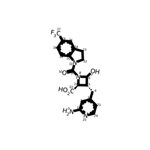 Nc1cc(C[C@H]2C(O)N(C(=O)N3CCc4cc(C(F)(F)F)ccc43)[C@@H]2C(=O)O)ccn1